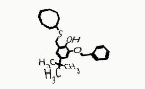 CC(C)(C)c1cc(CSC2CCCCCCC2)c(O)c(OCc2ccccc2)c1